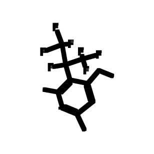 CCc1cc(C)[c]c(C)c1C(F)(C(F)(F)F)C(F)(F)F